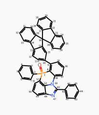 O=P1(c2ccccc2)c2c(-c3ccc4c(c3)C3(c5ccccc5-c5ccccc53)c3ccccc3-4)cccc2-n2c(-c3ccccc3)nc3cccc1c32